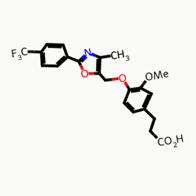 COc1cc(CCC(=O)O)ccc1OCc1oc(-c2ccc(C(F)(F)F)cc2)nc1C